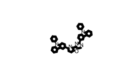 c1ccc(-n2c3ccccc3c3cc(-c4ccc5oc6cnc(-c7ccc8c(c7)c7ccccc7n8-c7ccccc7)nc6c5n4)ccc32)cc1